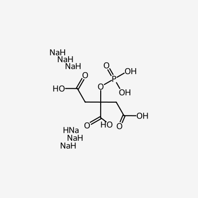 O=C(O)CC(CC(=O)O)(OP(=O)(O)O)C(=O)O.[NaH].[NaH].[NaH].[NaH].[NaH].[NaH]